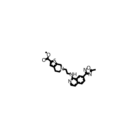 COC(=O)c1cc2c(s1)CN(CCNc1nccc3ccc(-c4noc(C)n4)cc13)CC2